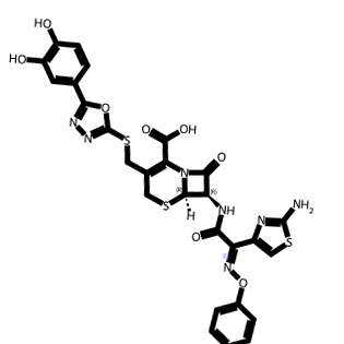 Nc1nc(/C(=N\Oc2ccccc2)C(=O)N[C@@H]2C(=O)N3C(C(=O)O)=C(CSc4nnc(-c5ccc(O)c(O)c5)o4)CS[C@H]23)cs1